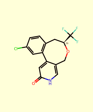 O=c1cc2c(c[nH]1)CO[C@H](C(F)(F)F)Cc1ccc(Cl)cc1-2